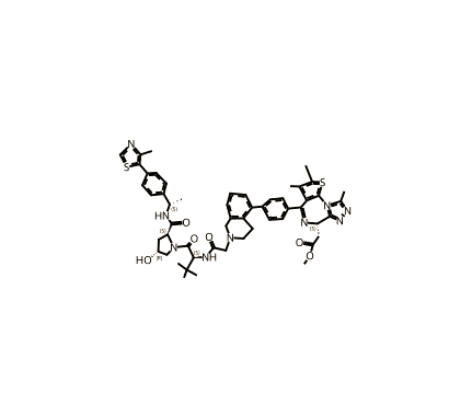 COC(=O)C[C@@H]1N=C(c2ccc(-c3cccc4c3CCN(CC(=O)N[C@H](C(=O)N3C[C@H](O)C[C@H]3C(=O)N[C@@H](C)c3ccc(-c5scnc5C)cc3)C(C)(C)C)C4)cc2)c2c(sc(C)c2C)-n2c(C)nnc21